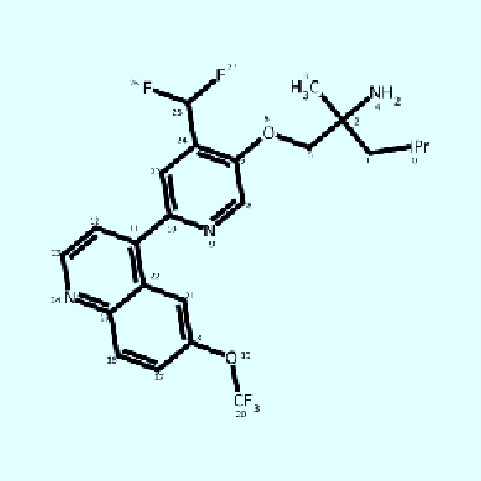 CC(C)CC(C)(N)COc1cnc(-c2ccnc3ccc(OC(F)(F)F)cc23)cc1C(F)F